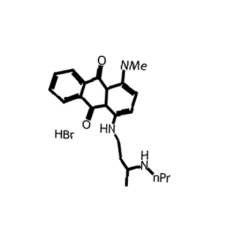 Br.CCCNC(C)CCNC1=CC=C(NC)C2C(=O)c3ccccc3C(=O)C12